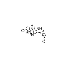 CC1(C#Cc2cc3c(cc2N)C(N)(c2cccc(Cl)c2F)NC=N3)CCN(C2COC2)C1